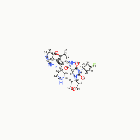 Cc1cc(NC(=O)c2cn(C3CCOCC3)c(=O)n(-c3ccc(F)cc3)c2=O)ccc1Oc1ccnc(N)c1C#CCC1CCNCC1